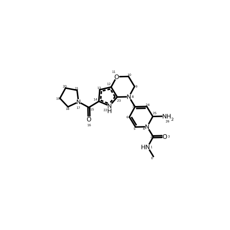 CNC(=O)N1C=CC(N2CCOc3cc(C(=O)N4CCCC4)[nH]c32)=CC1N